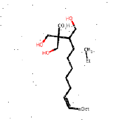 CCC.CCCCCCCC/C=C\CCCCCC(CO)C(CO)(CO)C(=O)O